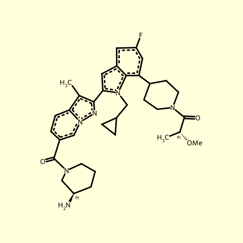 CO[C@H](C)C(=O)N1CCC(c2cc(F)cc3cc(-c4nn5cc(C(=O)N6CCC[C@@H](N)C6)ccc5c4C)n(CC4CC4)c23)CC1